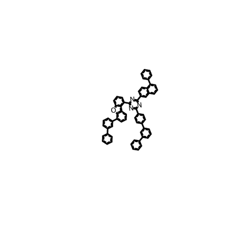 c1ccc(-c2cccc(-c3ccc(-c4nc(-c5ccc6c(-c7ccccc7)cccc6c5)nc(-c5cccc6oc7c(-c8cccc(-c9ccccc9)c8)cccc7c56)n4)cc3)c2)cc1